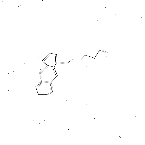 [CH2]CCCCCCc1cccc2cc3ccccc3cc12